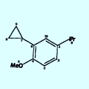 [CH2]C(C)c1ccc(OC)c(C2CC2)c1